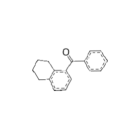 O=C(c1ccccc1)c1cccc2c1CCCC2